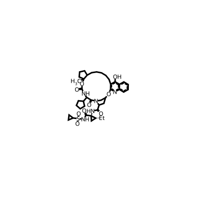 CC[C@@H]1C[C@]1(NC(=O)C1CC2CN1C(=O)C(C1CCCC1)NC(=O)OC1(C)CCCC1CCCCCc1c(nc3ccccc3c1O)O2)C(=O)NS(=O)(=O)C1CC1